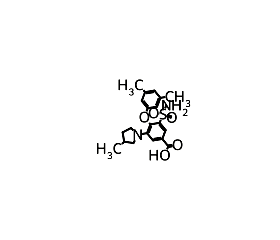 Cc1cc(C)cc(Oc2c(N3CCC(C)C3)cc(C(=O)O)cc2S(N)(=O)=O)c1